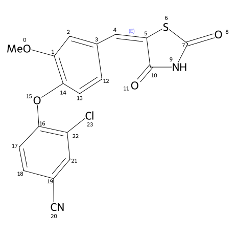 COc1cc(/C=C2/SC(=O)NC2=O)ccc1Oc1ccc(C#N)cc1Cl